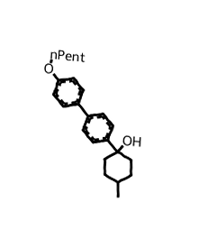 CCCCCOc1ccc(-c2ccc(C3(O)CCC(C)CC3)cc2)cc1